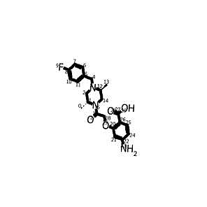 C[C@@H]1CN(Cc2ccc(F)cc2)[C@@H](C)CN1C(=O)COc1cc(N)ccc1C(=O)O